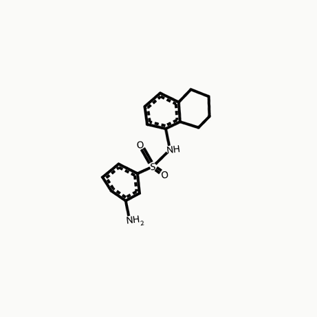 Nc1cccc(S(=O)(=O)Nc2cccc3c2CCCC3)c1